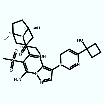 CS(=O)(=O)c1c([C@H]2C[C@H]3CC[C@@H](C2)N3C(=O)CO)nc2c(N3C=NC(C4(O)CCC4)=CC3)cnn2c1N